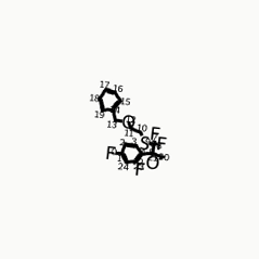 Fc1ccc(C2(C(F)(F)SCCOCc3ccccc3)CO2)c(F)c1